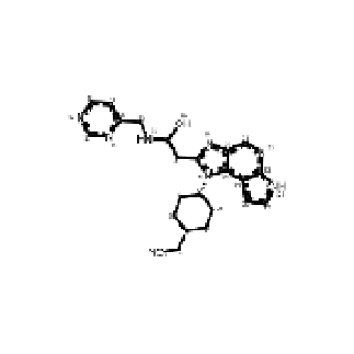 N#CC[C@H]1CC[C@H](n2c(CC(O)NCc3ccncn3)nc3cnc4[nH]ccc4c32)CC1